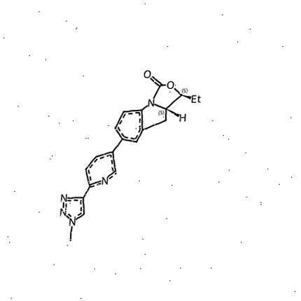 CC[C@@H]1OC(=O)N2c3ccc(-c4ccc(-c5cn(C)nn5)nc4)cc3C[C@@H]12